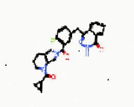 O=C(c1cc(Cc2n[nH]c(=O)c3ccccc23)ccc1F)N1CC2CCCN(C(=O)C3CC3)C2C1